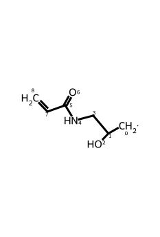 [CH2]C(O)CNC(=O)C=C